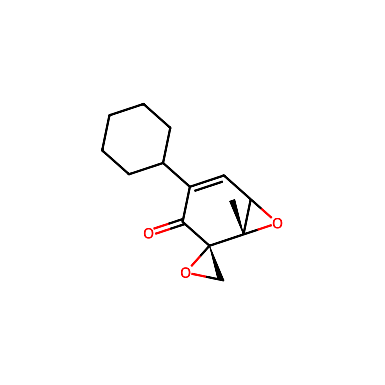 C[C@]12OC1C=C(C1CCCCC1)C(=O)[C@]21CO1